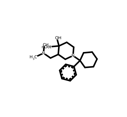 CCCCCCCCC1(O)CCN(C2(c3ccccc3)CCCCC2)CC1CN(C)C